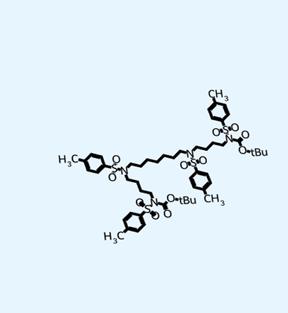 Cc1ccc(S(=O)(=O)N(CCCCCCCN(CCCCN(C(=O)OC(C)(C)C)S(=O)(=O)c2ccc(C)cc2)S(=O)(=O)c2ccc(C)cc2)CCCCN(C(=O)OC(C)(C)C)S(=O)(=O)c2ccc(C)cc2)cc1